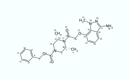 C[C@@H]1CN(C(=O)OCc2ccccc2)C[C@H](C)N1C(=O)COc1cccc2c(N)nn(C)c12